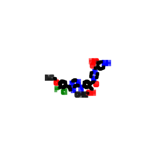 Cc1cc(Nc2nccn3c(-c4ccc(OCC#N)c(F)c4Cl)cnc23)ccc1C(=O)N1CCN(C(=O)[C@H]2CCNC[C@H]2O)CC1.O=CO